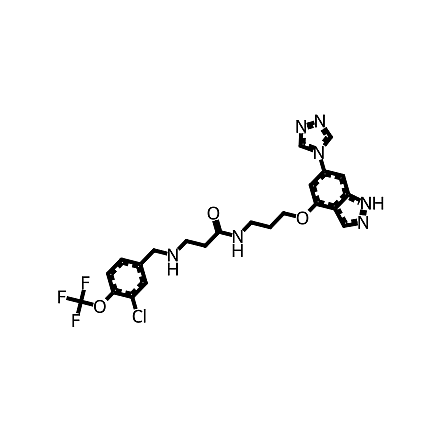 O=C(CCNCc1ccc(OC(F)(F)F)c(Cl)c1)NCCCOc1cc(-n2cnnc2)cc2[nH]ncc12